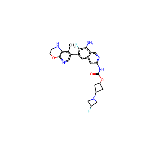 Cc1c(-c2cc3cc(NC(=O)OC4CC(N5CC(F)C5)C4)ncc3c(N)c2F)cnc2c1NCCO2